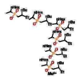 CCCCCCC(C)P(=O)([O-])CC(CC)CCCC.CCCCCCC(C)P(=O)([O-])CC(CC)CCCC.CCCCCCC(C)P(=O)([O-])CC(CC)CCCC.CCCCCCC(C)P(=O)([O-])CC(CC)CCCC.CCCCCCC(C)P(=O)([O-])CC(CC)CCCC.CCCCCCC(C)P(=O)([O-])CC(CC)CCCC.[Mo+6]